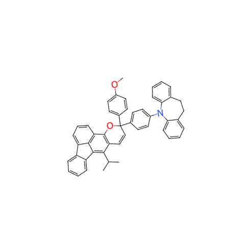 COc1ccc(C2(c3ccc(N4c5ccccc5CCc5ccccc54)cc3)C=Cc3c(C(C)C)c4c5c(cccc5c3O2)-c2ccccc2-4)cc1